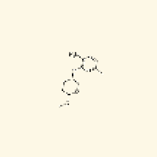 CO[C@@H]1CC[C@@H](Oc2cc(I)ccc2N)CO1